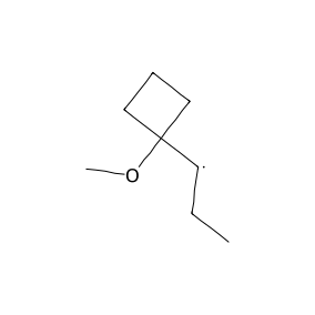 CC[CH]C1(OC)CCC1